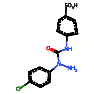 NN(C(=O)Nc1ccc(S(=O)(=O)O)cc1)c1ccc(Cl)cc1